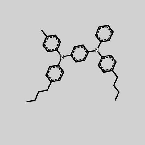 CCCCc1ccc(N(c2ccccc2)c2ccc(N(c3ccc(C)cc3)c3ccc(CCCC)cc3)cc2)cc1